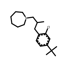 CC(Cc1ccc(C(C)(C)C)cc1Cl)CN1CCCCCC1